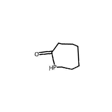 O=C1CCCCP1